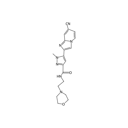 Cn1nc(C(=O)NCCN2CCOCC2)cc1-c1cn2ccc(C#N)cc2n1